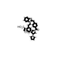 O=C(O)/C=C/C(=O)O.O=C(c1ccc(Cc2nc3ccccc3n2CCc2ccccc2)cc1)N1CC[C@H](N2CCCC2)C1